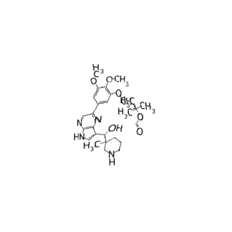 CC(C)(C)OC=O.COc1cc(-c2cnc3[nH]cc(C(O)C4(C)CCCNC4)c3n2)cc(OC)c1OC